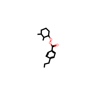 CCCc1ccc(C(=O)OO[C]2CCCC(C)C2C)cc1